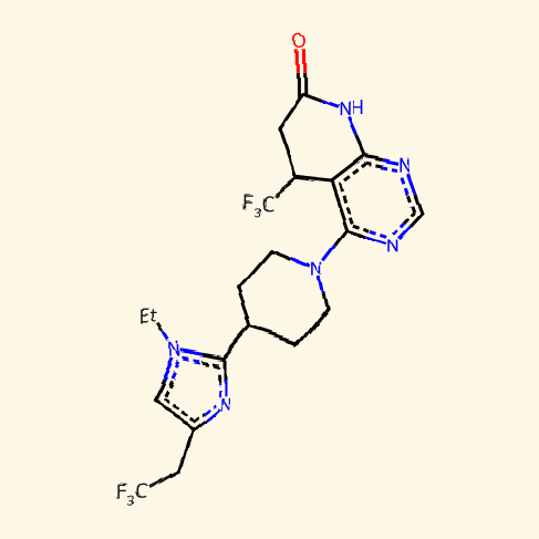 [CH2]Cn1cc(CC(F)(F)F)nc1C1CCN(c2ncnc3c2C(C(F)(F)F)CC(=O)N3)CC1